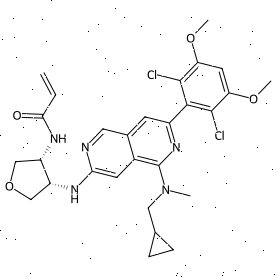 C=CC(=O)N[C@H]1COC[C@H]1Nc1cc2c(N(C)CC3CC3)nc(-c3c(Cl)c(OC)cc(OC)c3Cl)cc2cn1